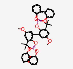 COc1cc(-c2cc(OC)cc(C(C)(C)C)c2Op2oc3ccccc3c3ccccc3o2)c(OP(Oc2ccccc2)Oc2ccccc2)c(C(C)(C)C)c1